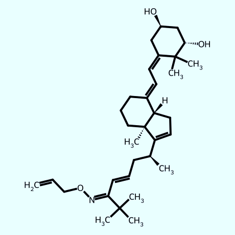 C=CCO/N=C(\C=C\C[C@H](C)C1=CC[C@H]2/C(=C/C=C3/C[C@@H](O)C[C@H](O)C3(C)C)CCC[C@]12C)C(C)(C)C